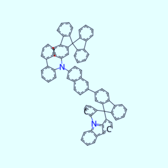 c1ccc(-c2ccccc2N(c2ccc3c(c2)C2(c4ccccc4-c4ccccc42)c2ccccc2-3)c2ccc3cc(-c4ccc5c(c4)C4(c6ccccc6-5)c5ccccc5-n5c6ccccc6c6cccc4c65)ccc3c2)cc1